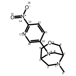 CN1CC2COCC1CN2c1ccc([N+](=O)[O-])nc1